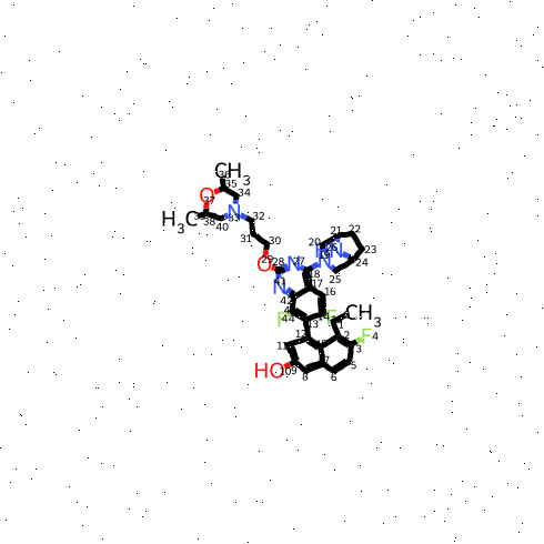 CCc1c(F)ccc2cc(O)cc(-c3c(F)cc4c(N5CC6CCC(C5)N6)nc(OCCCN5CC(C)OC(C)C5)nc4c3F)c12